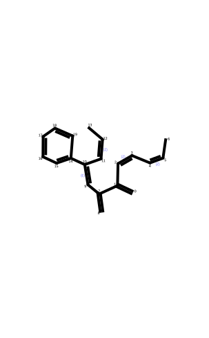 C=C(/C=C\C=C/C)C(=C)/C=C(\C=C/C)c1ccccc1